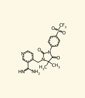 CC1(C)C(=O)N(c2ccc(S(=O)(=O)C(F)(F)F)cc2)C(=O)N1Cc1ccncc1C(=N)N